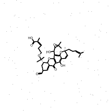 CC(C)=CCC[C@@]1(C)C=Cc2c(O)c3c(c(C(O)C4OC4(C)C)c2O1)OC1C(=CC(C=O)C[C@@H]1C(C)(C)OCC/C=C(/C)C(=O)O)C3=O